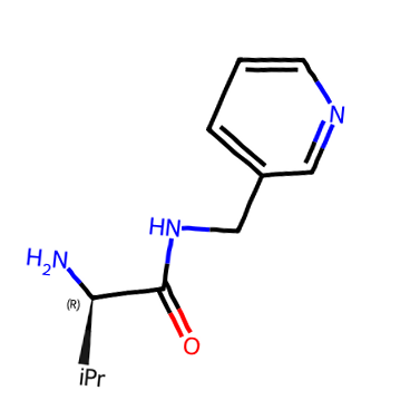 CC(C)[C@@H](N)C(=O)NCc1cccnc1